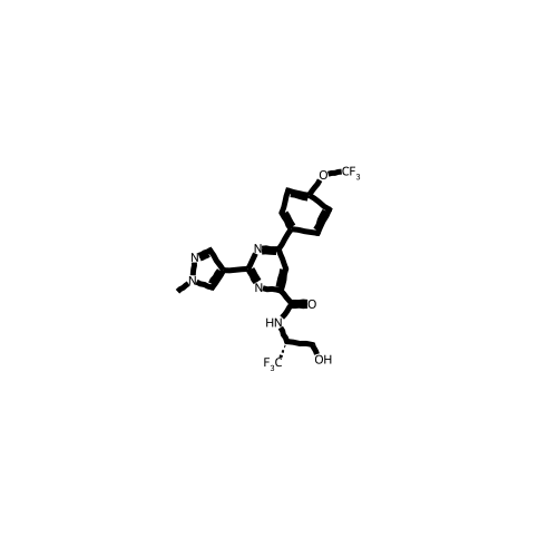 Cn1cc(-c2nc(C(=O)N[C@H](CO)C(F)(F)F)cc(-c3ccc(OC(F)(F)F)cc3)n2)cn1